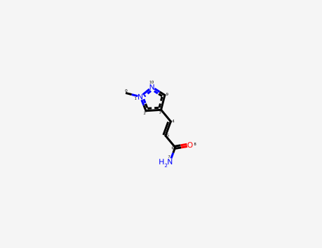 Cn1cc(/C=C/C(N)=O)cn1